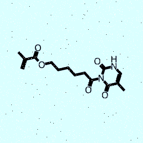 C=C(C)C(=O)OCCCCCC(=O)n1c(=O)[nH]cc(C)c1=O